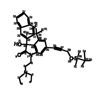 CCN(CC)CCN1C(=O)C(O)(c2ccc3ccccc3c2)c2c1cc(C#CCO[Si](C)(C)C(C)(C)C)cc2C(F)(F)F